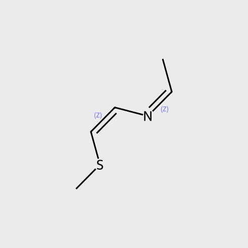 C/C=N\C=C/SC